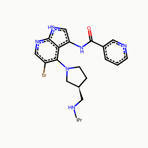 CC(C)NC[C@@H]1CCN(c2c(Br)cnc3[nH]cc(NC(=O)c4cccnc4)c23)C1